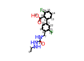 CCNNC(=O)NCc1ccc(-c2cccc(F)c2C(=O)O)cc1F